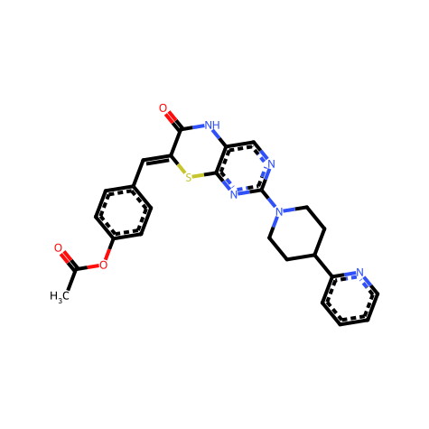 CC(=O)Oc1ccc(C=C2Sc3nc(N4CCC(c5ccccn5)CC4)ncc3NC2=O)cc1